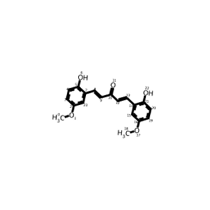 COc1ccc(O)c(/C=C/C(=O)/C=C/c2cc(OC)ccc2O)c1